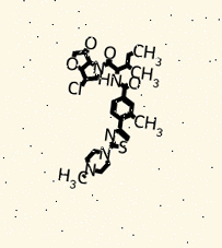 CCC(C)C(NC(=O)c1ccc(-c2csc(N3CCN(C)CC3)n2)c(C)c1)C(=O)N1CC(Cl)C2OCC(=O)C21